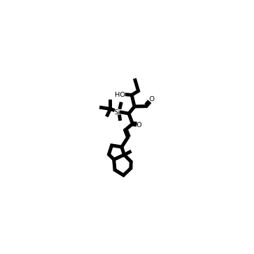 CCC(O)C(C=O)C(C(=O)C=CC1CCC2CCCCC12C)[Si](C)(C)C(C)(C)C